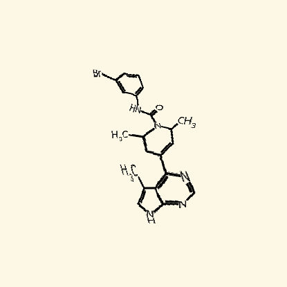 Cc1c[nH]c2ncnc(C3=CC(C)N(C(=O)Nc4cccc(Br)c4)C(C)C3)c12